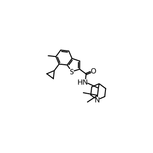 Cc1ccc2cc(C(=O)NC3C4CCN(CC4)C3(C)C)sc2c1C1CC1